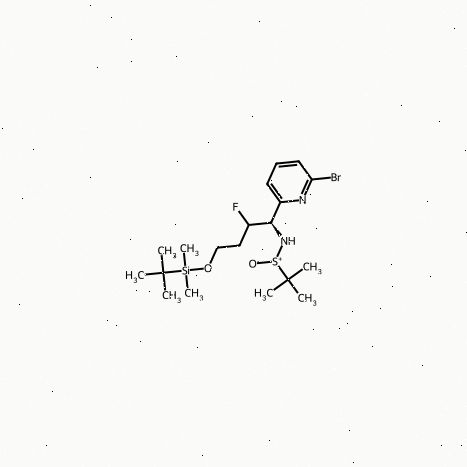 CC(C)(C)[S+]([O-])N[C@H](c1cccc(Br)n1)C(F)CCO[Si](C)(C)C(C)(C)C